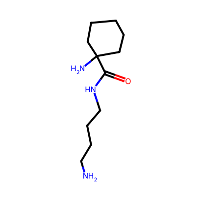 NCCCCNC(=O)C1(N)CCCCC1